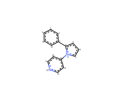 c1ccc(-c2cccn2-c2ccncc2)cc1